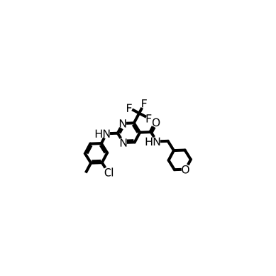 Cc1ccc(Nc2ncc(C(=O)NCC3CCOCC3)c(C(F)(F)F)n2)cc1Cl